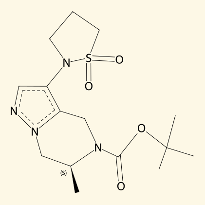 C[C@H]1Cn2ncc(N3CCCS3(=O)=O)c2CN1C(=O)OC(C)(C)C